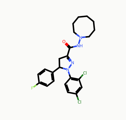 O=C(NN1CCCCCCC1)C1=NN(c2ccc(Cl)cc2Cl)C(c2ccc(F)cc2)C1